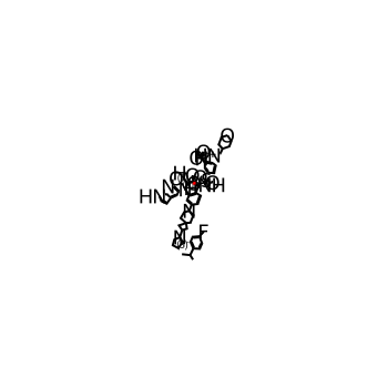 CC(C)c1ccc(F)cc1[C@@H]1CCCN1C1CC2(CCN(c3ccc(C(=O)NS(=O)(=O)c4ccc(NCC5CCOCC5)c([N+](=O)[O-])c4)c(N4c5cc6cc[nH]c6nc5O[C@@H]5COC[C@H]54)c3)CC2)C1